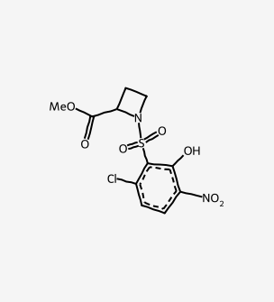 COC(=O)C1CCN1S(=O)(=O)c1c(Cl)ccc([N+](=O)[O-])c1O